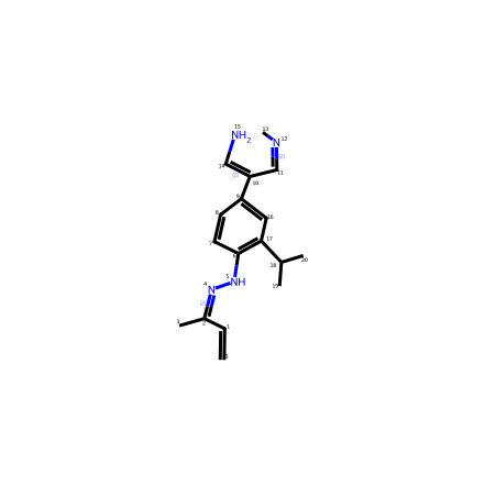 C=C/C(C)=N\Nc1ccc(C(/C=N\C)=C/N)cc1C(C)C